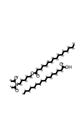 CCCCCCCCCCCCCCCC(=O)O.CCCCCCCCCCCCCCCC(=O)OCCCCCN(C(C)=O)C(C)=O